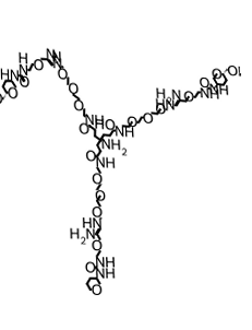 N/C(=C\NCOCCOCCOCCNC(=O)CCC(N)(CCC(=O)NCCOCCOCCOCn1cc(COCCNC(=O)NC2CC[C@@H](CO)OC2)nn1)CCC(O)NCCOCCOCCOCN/C=C(\N)COCCNC(=O)N[C@@H]1CC[C@@H](CO)OC1)COCCNC(=O)NC1CCCOC1